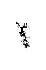 CON=C(C(=O)O)c1csc(NC(=O)OC(C)(C)C)n1